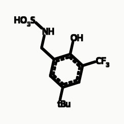 CC(C)(C)c1cc(CNS(=O)(=O)O)c(O)c(C(F)(F)F)c1